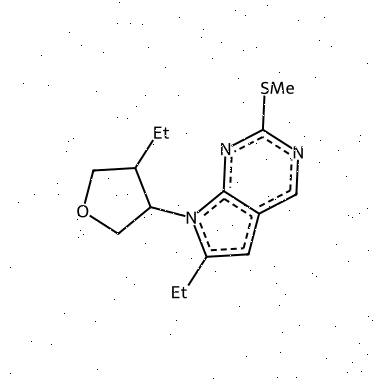 CCc1cc2cnc(SC)nc2n1C1COCC1CC